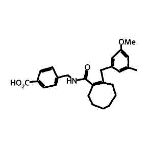 COc1cc(C)cc(C/C2=C(\C(=O)NCc3ccc(C(=O)O)cc3)CCCCCC2)c1